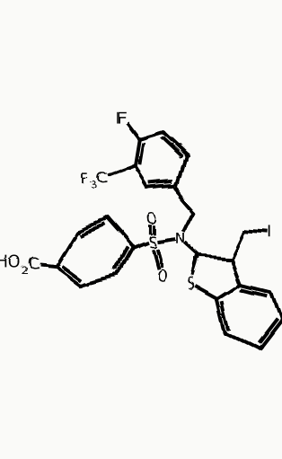 O=C(O)c1ccc(S(=O)(=O)N(Cc2ccc(F)c(C(F)(F)F)c2)C2Sc3ccccc3C2CI)cc1